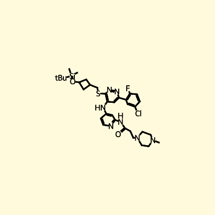 CN1CCN(CCC(=O)Nc2cc(Nc3cc(-c4cc(Cl)ccc4F)nnc3SCC3CC(O[Si](C)(C)C(C)(C)C)C3)ccn2)CC1